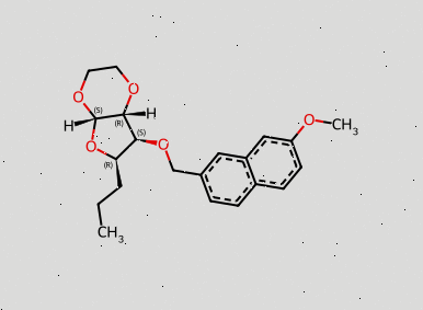 CCC[C@H]1O[C@@H]2OCCO[C@@H]2[C@H]1OCc1ccc2ccc(OC)cc2c1